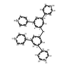 c1cc(-c2cc(Cc3cc(-c4ccncc4)cc(-c4ccncc4)c3)cc(-c3ccncc3)c2)ccn1